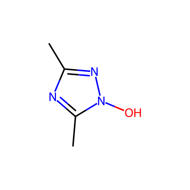 Cc1nc(C)n(O)n1